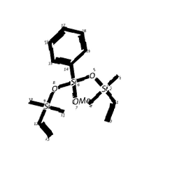 C=C[Si](C)(C)O[Si](OC)(O[Si](C)(C)C=C)c1ccccc1